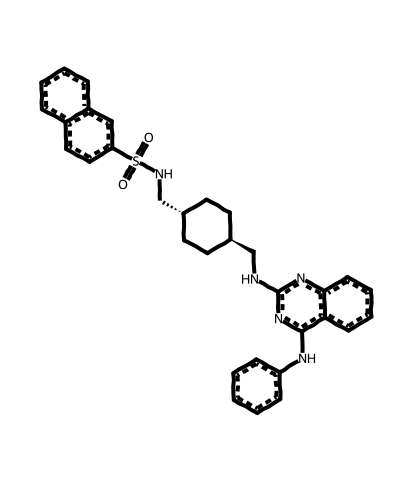 O=S(=O)(NC[C@H]1CC[C@H](CNc2nc(Nc3ccccc3)c3ccccc3n2)CC1)c1ccc2ccccc2c1